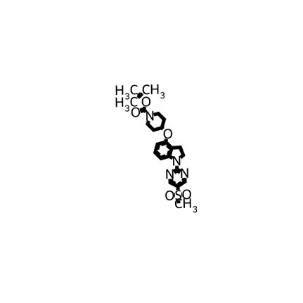 CC(C)(C)OC(=O)N1CCC(Oc2cccc3c2CCN3c2ncc(S(C)(=O)=O)cn2)CC1